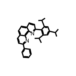 CC(C)c1cc(C(C)C)c(-c2ccc3ccc4ccc(-c5ccccc5)nc4c3n2)c(C(C)C)c1